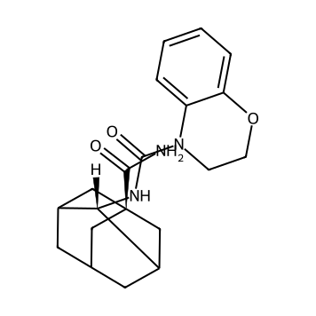 NC(=O)[C@]12CC3CC(C1)[C@@H](NC(=O)N1CCOc4ccccc41)C(C3)C2